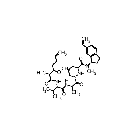 C=CCCC(OC)C(C)C(=O)N[C@H](C(=O)NC(C)C(=O)N1CCCC(C(=O)N(C)[C@@H]2CCc3ccc(C=C)cc32)N1)C(C)C